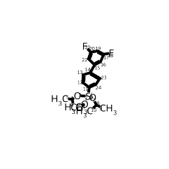 CO[Si](OC(C)C)(OC(C)C)c1ccc(-c2cc(F)cc(F)c2)cc1